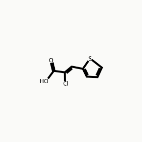 O=C(O)/C(Cl)=C/c1cccs1